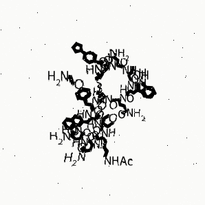 CC(=O)NCCCCC(NC(=O)C1(NC(=O)C(Cc2ccc3ccccc3c2)NC(=O)C(Cc2ccc(OCCN)cc2)NC(=O)C2NC(=O)C(CCC(N)=O)NC(=O)C(Cc3c[nH]c4ccccc34)NC(=O)C(C(C)O)NC(=O)C(CC(N)=O)NC(=O)C(NC(=O)C3CCC(C4CCCC4)CC3)C(C)(C)SSC2(C)C)CCOCC1)C(=O)NC(CC(N)=O)C(=O)NC(CC(N)=O)C(N)=O